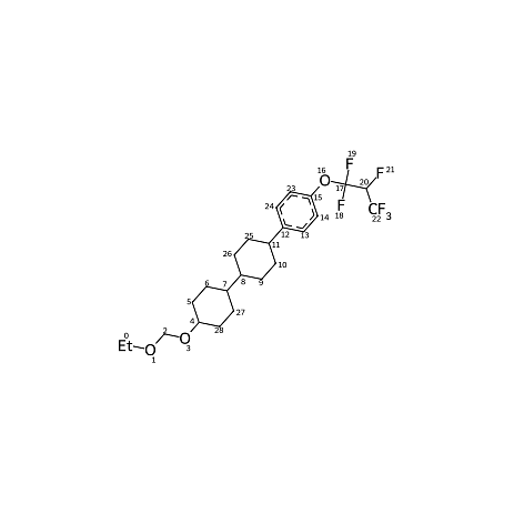 CCOCOC1CCC(C2CCC(c3ccc(OC(F)(F)C(F)C(F)(F)F)cc3)CC2)CC1